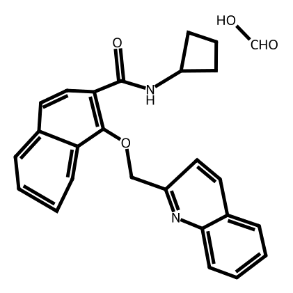 O=C(NC1CCC1)c1ccc2ccccc2c1OCc1ccc2ccccc2n1.O=CO